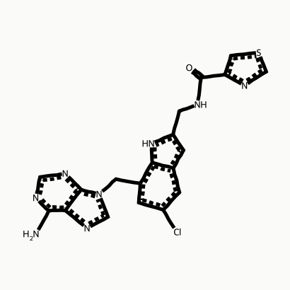 Nc1ncnc2c1ncn2Cc1cc(Cl)cc2cc(CNC(=O)c3cscn3)[nH]c12